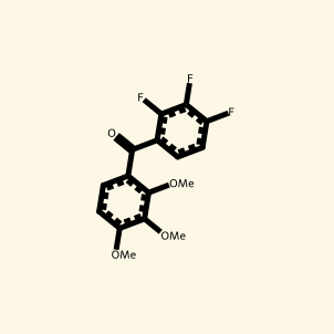 COc1ccc(C(=O)c2ccc(F)c(F)c2F)c(OC)c1OC